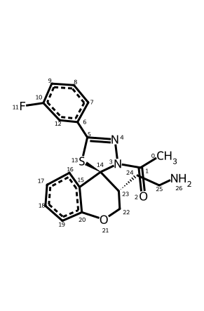 CC(=O)N1N=C(c2cccc(F)c2)S[C@@]12c1ccccc1OC[C@H]2CCN